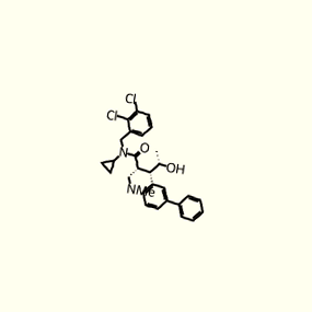 CNC[C@H](C(=O)N(Cc1cccc(Cl)c1Cl)C1CC1)[C@@H](c1cccc(-c2ccccc2)c1)[C@H](C)O